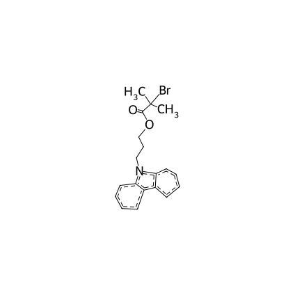 CC(C)(Br)C(=O)OCCCn1c2ccccc2c2ccccc21